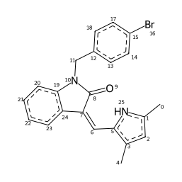 Cc1cc(C)c(/C=C2\C(=O)N(Cc3ccc(Br)cc3)c3ccccc32)[nH]1